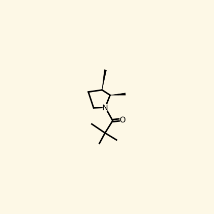 C[C@@H]1CCN(C(=O)C(C)(C)C)[C@@H]1C